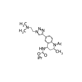 CC(=O)N1c2ccc(-c3cn(CCN(C)C)nn3)cc2[C@H](NC(=O)OC(C)C)C[C@@H]1C